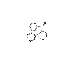 O=C1c2ccccc2C2(c3ccccc3)OCCCN12